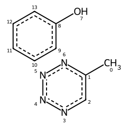 Cc1cnnnn1.Oc1ccccc1